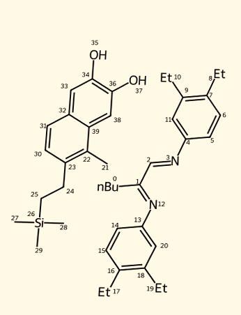 CCCCC(C=Nc1ccc(CC)c(CC)c1)=Nc1ccc(CC)c(CC)c1.Cc1c(CC[Si](C)(C)C)ccc2cc(O)c(O)cc12